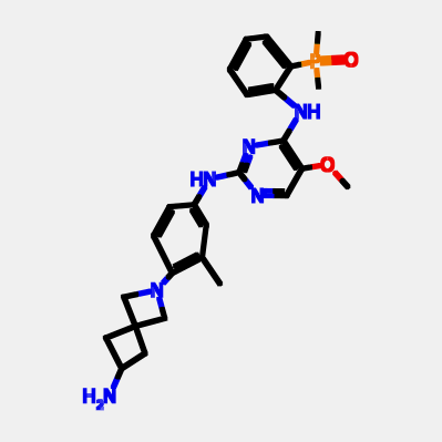 COc1cnc(Nc2ccc(N3CC4(CC(N)C4)C3)c(C)c2)nc1Nc1ccccc1P(C)(C)=O